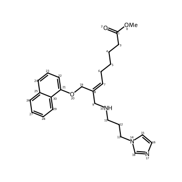 COC(=O)CCCC/C=C(/CNCCCn1ccnc1)COc1cccc2ccccc12